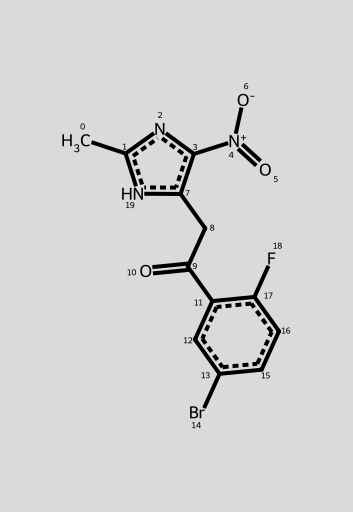 Cc1nc([N+](=O)[O-])c(CC(=O)c2cc(Br)ccc2F)[nH]1